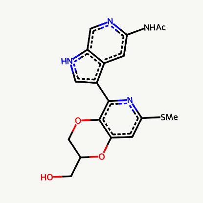 CSc1cc2c(c(-c3c[nH]c4cnc(NC(C)=O)cc34)n1)OCC(CO)O2